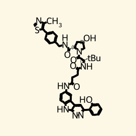 Cc1ncsc1-c1ccc(CNC(=O)[C@@H]2C[C@@H](O)CN2C(=O)[C@@H](NC(=O)CCC(=O)Nc2ccc3[nH]c4nnc(-c5ccccc5O)cc4c3c2)C(C)(C)C)cc1